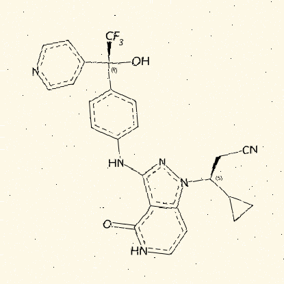 N#CC[C@@H](C1CC1)n1nc(Nc2ccc([C@@](O)(c3ccncc3)C(F)(F)F)cc2)c2c(=O)[nH]ccc21